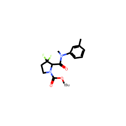 Cc1cccc(N(C)C(=O)C2N(C(=O)OC(C)(C)C)CCC2(F)F)c1